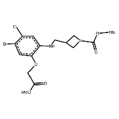 COC(=O)COc1cc(Br)c(Cl)cc1NCC1CN(C(=O)OC(C)(C)C)C1